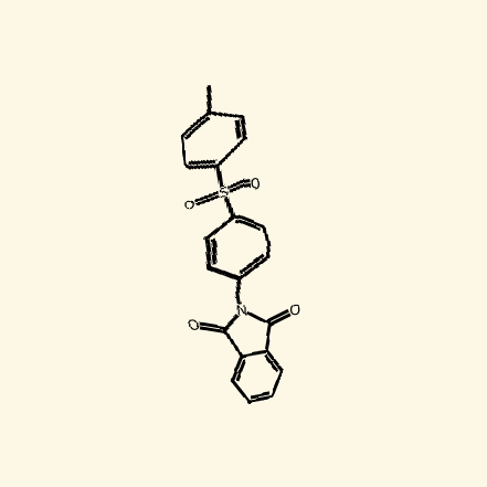 Cc1ccc(S(=O)(=O)c2ccc(N3C(=O)c4ccccc4C3=O)cc2)cc1